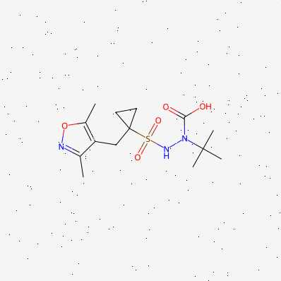 Cc1noc(C)c1CC1(S(=O)(=O)NN(C(=O)O)C(C)(C)C)CC1